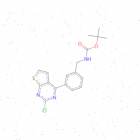 CC(C)(C)OC(=O)NCc1cccc(-c2nc(Cl)nc3sccc23)c1